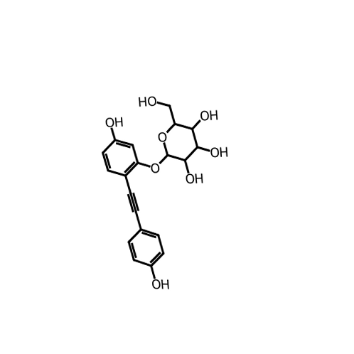 OCC1OC(Oc2cc(O)ccc2C#Cc2ccc(O)cc2)C(O)C(O)C1O